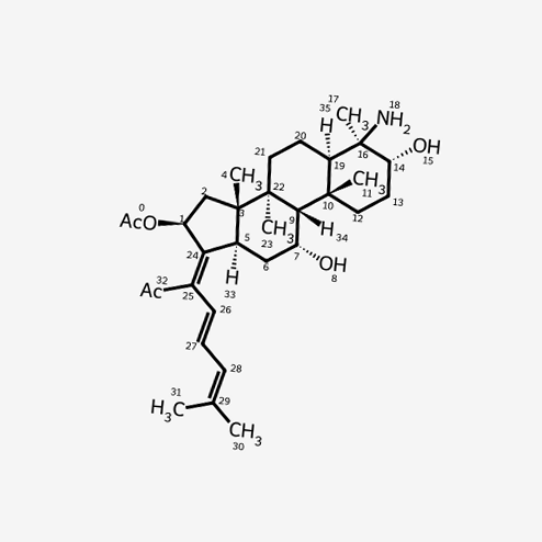 CC(=O)O[C@H]1C[C@@]2(C)[C@@H](C[C@@H](O)[C@H]3[C@@]4(C)CC[C@@H](O)[C@](C)(N)[C@@H]4CC[C@@]32C)/C1=C(\C=C\C=C(C)C)C(C)=O